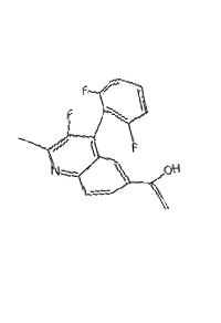 C=C(O)c1ccc2nc(C)c(F)c(-c3c(F)cccc3F)c2c1